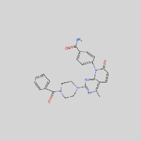 Cc1nc(N2CCN(C(=O)c3ccccc3)CC2)nc2c1ccc(=O)n2-c1ccc(C(N)=O)cc1